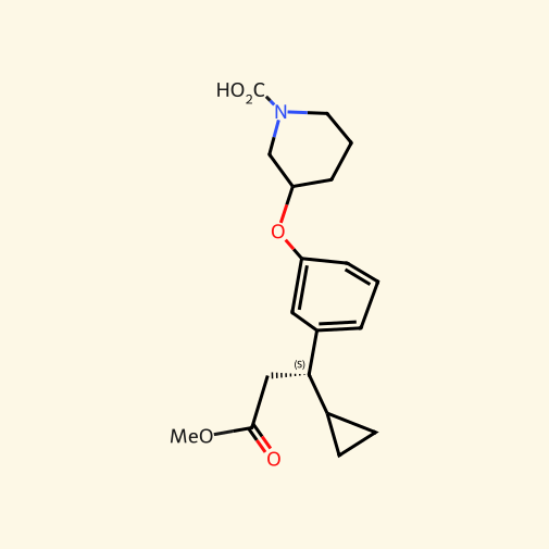 COC(=O)C[C@H](c1cccc(OC2CCCN(C(=O)O)C2)c1)C1CC1